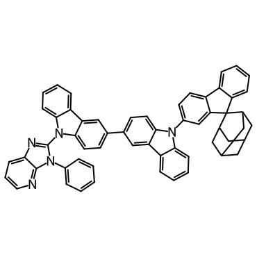 c1ccc(-n2c(-n3c4ccccc4c4cc(-c5ccc6c(c5)c5ccccc5n6-c5ccc6c(c5)C5(c7ccccc7-6)C6CC7CC(C6)CC5C7)ccc43)nc3cccnc32)cc1